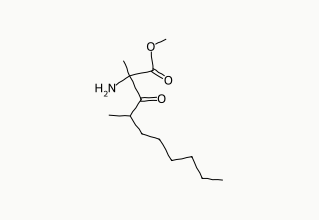 CCCCCCC(C)C(=O)C(C)(N)C(=O)OC